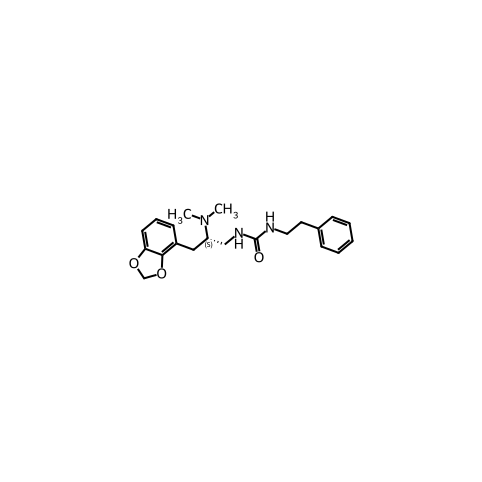 CN(C)[C@H](CNC(=O)NCCc1ccccc1)Cc1cccc2c1OCO2